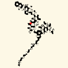 CCC(C)[C@@H]([C@@H](CC(=O)N1CCC[C@H]1[C@H](OC)[C@@H](C)C(=O)NC(Cc1ccccc1)C(=O)OC)OC)N(C)C(=O)[C@@H](NC(=O)[C@H](C(C)C)N(C)C(=O)OCc1ccc(O[C@@H]2O[C@H](COC(C)=O)[C@H](OC(C)=O)[C@H](OC(C)=O)[C@H]2OC(C)=O)c2cc(CCC(=O)NCCOCCOCCOCCN=[N+]=[N-])sc12)C(C)C